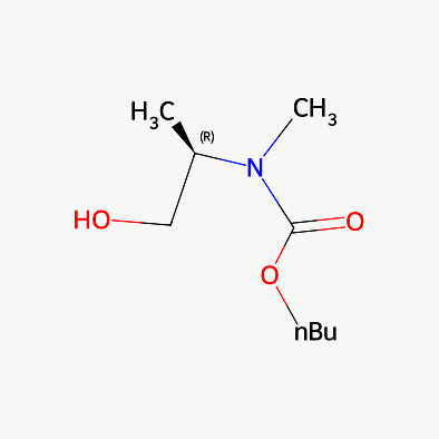 CCCCOC(=O)N(C)[C@H](C)CO